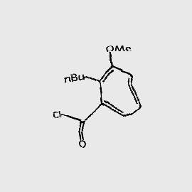 CCCCc1c(OC)cccc1C(=O)Cl